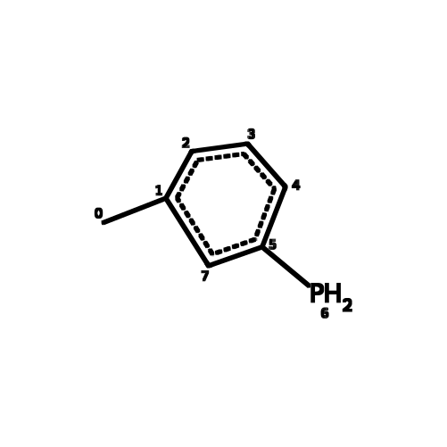 Cc1cccc(P)c1